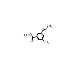 CCOc1cc(C)cc(C(=O)OC)c1